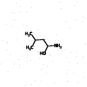 CC(C)[CH]C(N)O